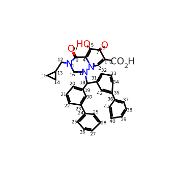 O=C(O)c1cn2c(c(O)c1=O)C(=O)N(CC1CC1)CN2C(c1cccc(-c2ccccc2)c1)c1cccc(-c2ccccc2)c1